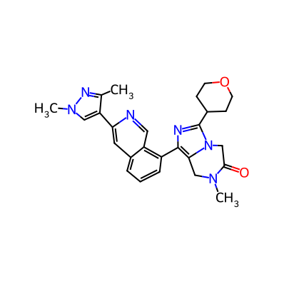 Cc1nn(C)cc1-c1cc2cccc(-c3nc(C4CCOCC4)n4c3CN(C)C(=O)C4)c2cn1